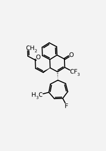 C=CC(=O)/C=C\[C@@H]1C([C@@H]2C=CC(F)=CC(C)=C2)=C(C(F)(F)F)C(=O)c2ccccc21